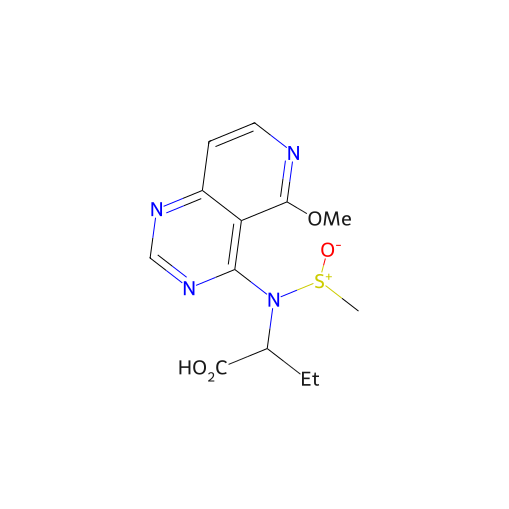 CCC(C(=O)O)N(c1ncnc2ccnc(OC)c12)[S+](C)[O-]